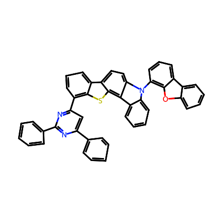 c1ccc(-c2cc(-c3cccc4c3sc3c4ccc4c3c3ccccc3n4-c3cccc4c3oc3ccccc34)nc(-c3ccccc3)n2)cc1